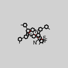 Cc1cccc(-c2ccc3c(c2)c2cc(-c4cccc(C)c4)ccc2n3-c2ccc(-c3ccc(C(F)(F)F)cc3C#N)cc2-c2c(C#N)cccc2-n2c3ccc(-c4cccc(C)c4)cc3c3cc(-c4cccc(C)c4)ccc32)c1